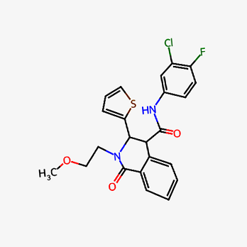 COCCN1C(=O)c2ccccc2C(C(=O)Nc2ccc(F)c(Cl)c2)C1c1cccs1